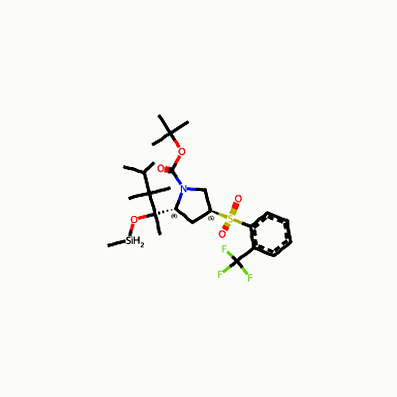 C[SiH2]OC(C)([C@H]1C[C@H](S(=O)(=O)c2ccccc2C(F)(F)F)CN1C(=O)OC(C)(C)C)C(C)(C)C(C)C